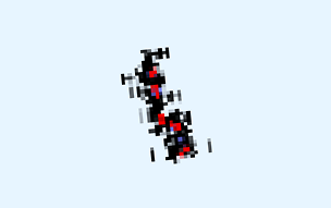 Cc1cc(/N=N/c2cc(S(=O)(=O)O)ccc2S(=O)(=O)O)c(OCCO)c(/N=N/c2c(S(=O)(=O)O)cc3cc(Nc4ccc5c(O)c(/N=N/c6cc(C)cc(/N=N/c7cc(S(=O)(=O)O)ccc7S(=O)(=O)O)c6OCCO)c(S(=O)(=O)O)cc5c4)ccc3c2O)c1